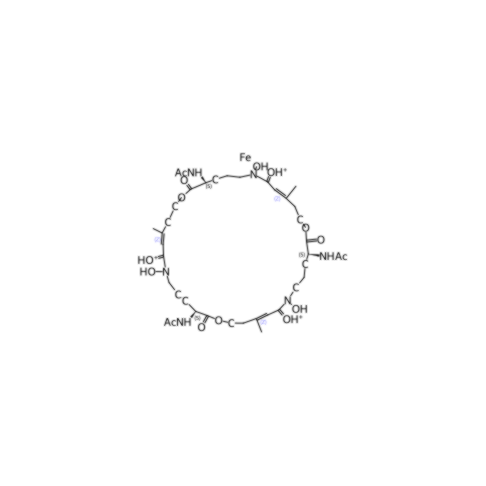 CC(=O)N[C@H]1CCCN(O)C(=[OH+])/C=C(/C)CCOC(=O)[C@@H](NC(C)=O)CCCN(O)C(=[OH+])/C=C(/C)CCOC(=O)[C@@H](NC(C)=O)CCCN(O)C(=[OH+])/C=C(/C)CCOC1=O.[Fe]